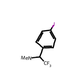 CNC(c1ccc(I)cc1)C(F)(F)F